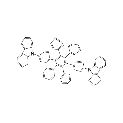 C1=Cc2c(c3ccccc3n2-c2ccc(-c3c(-c4ccccc4)c(-c4ccccc4)c(-c4ccc(-n5c6ccccc6c6ccccc65)cc4)c(-c4ccccc4)c3-c3ccccc3)cc2)CC1